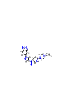 CN1CCN(c2ccc(Nc3cnn(-c4ccc(N)cc4)c3)cn2)CC1